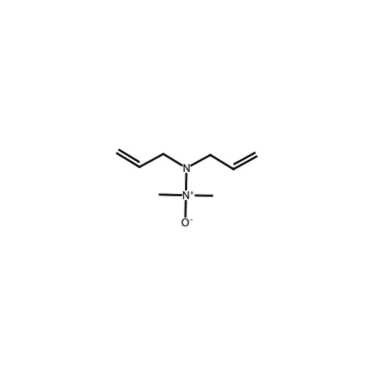 C=CCN(CC=C)[N+](C)(C)[O-]